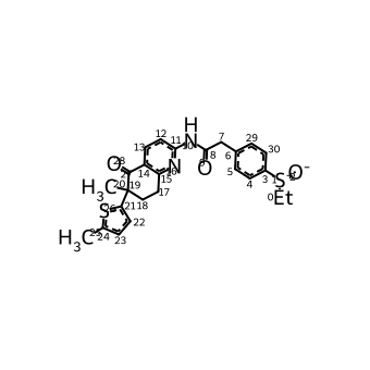 CC[S+]([O-])c1ccc(CC(=O)Nc2ccc3c(n2)CCC(C)(c2ccc(C)s2)C3=O)cc1